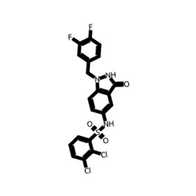 O=c1[nH]n(Cc2ccc(F)c(F)c2)c2ccc(NS(=O)(=O)c3cccc(Cl)c3Cl)cc12